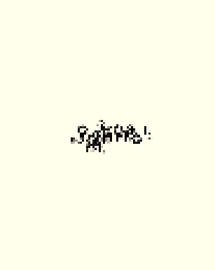 Cn1cc(-c2ccccc2OC2CC2)c2cc(C(=O)NCc3ccc(C(=O)Nc4ccccc4N)cc3)[nH]c2c1=O